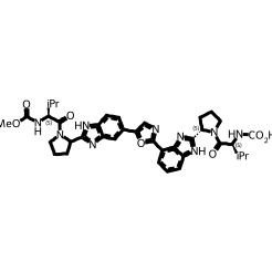 COC(=O)N[C@H](C(=O)N1CCCC1c1nc2cc(-c3cnc(-c4cccc5[nH]c([C@@H]6CCCN6C(=O)[C@@H](NC(=O)O)C(C)C)nc45)o3)ccc2[nH]1)C(C)C